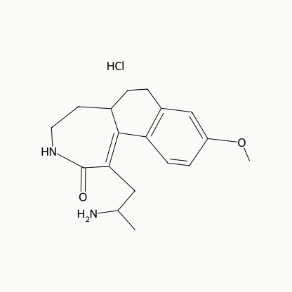 COc1ccc2c(c1)CCC1CCNC(=O)C(CC(C)N)=C21.Cl